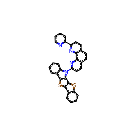 c1ccc(-c2ccc3ccc4ccc(-n5c6ccccc6c6sc7c8ccccc8sc7c65)nc4c3n2)nc1